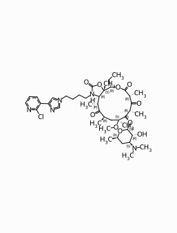 CC[C@H]1OC(=O)[C@H](C)C(=O)[C@H](C)[C@@H](O[C@@H]2O[C@H](C)C[C@H](N(C)C)[C@H]2O)[C@@](C)(OC)C[C@@H](C)C(=O)[C@H](C)[C@H]2N(CCCCn3cnc(-c4cccnc4Cl)c3)C(=O)O[C@]12C